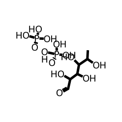 CC(O)C(O)C(O)C(O)C=O.O=P(O)(O)O.O=P(O)(O)O